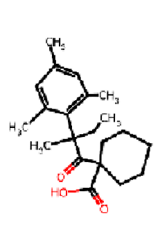 CCC(C)(C(=O)C1(C(=O)O)CCCCC1)c1c(C)cc(C)cc1C